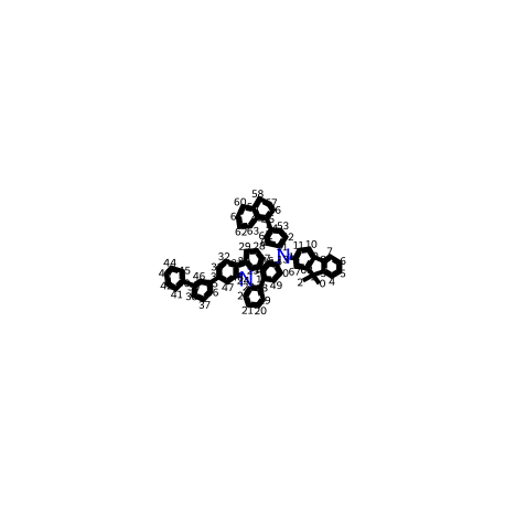 CC1(C)c2ccccc2-c2ccc(N(c3ccc(-c4ccccc4-n4c5ccccc5c5ccc(-c6cccc(-c7ccccc7)c6)cc54)cc3)c3ccc(-c4cccc5ccccc45)cc3)cc21